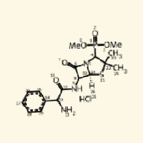 COP(=O)(OC)C1N2C(=O)C(NC(=O)C(N)c3ccccc3)[C@@H]2SC1(C)C.Cl